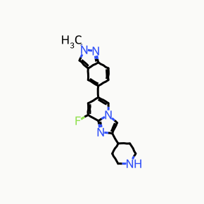 Cn1cc2cc(-c3cc(F)c4nc(C5CCNCC5)cn4c3)ccc2n1